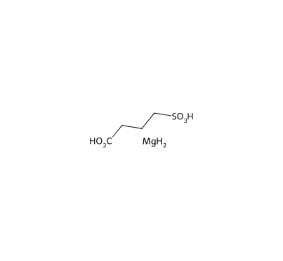 O=C(O)CCCS(=O)(=O)O.[MgH2]